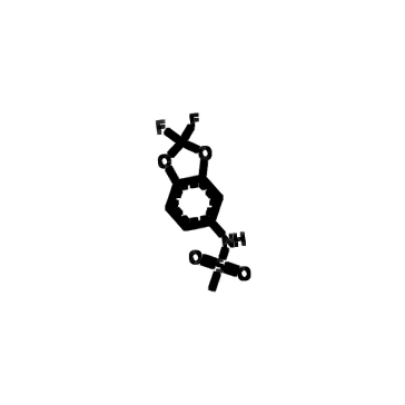 CS(=O)(=O)Nc1ccc2c(c1)OC(F)(F)O2